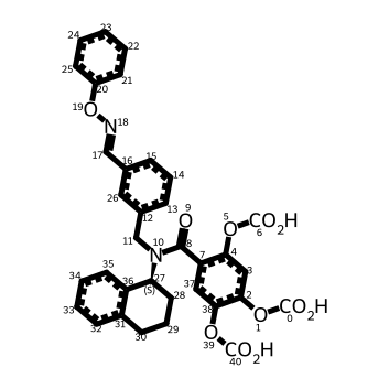 O=C(O)Oc1cc(OC(=O)O)c(C(=O)N(Cc2cccc(C=NOc3ccccc3)c2)[C@H]2CCCc3ccccc32)cc1OC(=O)O